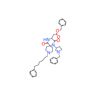 O=C(CC1NC(=O)C2(CCN(CCCCCCc3ccccc3)CC2)N(C2CCN(Cc3ccccc3)C2)C1=O)OCc1ccccc1